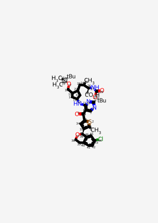 Cc1sc(C(=O)c2cncnc2NC2CC(CO[Si](C)(C)C(C)(C)C)C(CC(C)[C@@H](NC(=O)OC(C)(C)C)C(=O)O)C2)cc1[C@@H]1OCCc2ccc(Cl)cc21